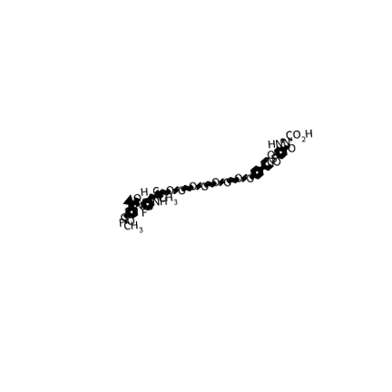 CC1(F)Oc2ccc(C3(C(=O)Nc4cc5cc(C(C)(C)CCOCCOCCOCCOCCOCCOCCOCCOc6ccc(C7CCN(S(=O)(=O)c8ccc9c(c8)NCN(CC(=O)O)C9=O)CC7)cc6)[nH]c5cc4F)CC3)cc2O1